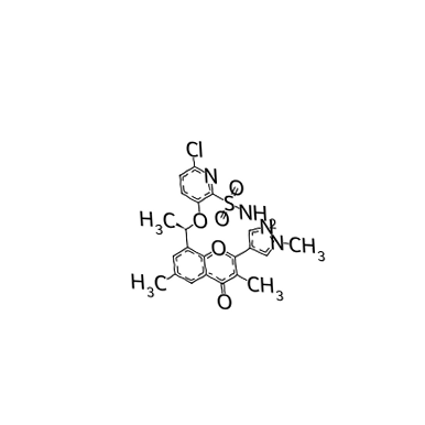 Cc1cc([C@@H](C)Oc2ccc(Cl)nc2S(N)(=O)=O)c2oc(-c3cnn(C)c3)c(C)c(=O)c2c1